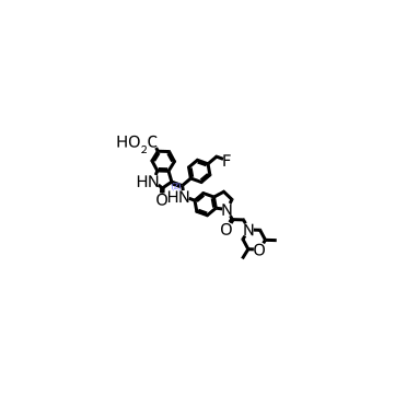 CC1CN(CC(=O)N2CCc3cc(N/C(=C4\C(=O)Nc5cc(C(=O)O)ccc54)c4ccc(CF)cc4)ccc32)CC(C)O1